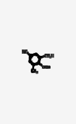 COc1c(C)cc(C#N)cc1C(=O)O